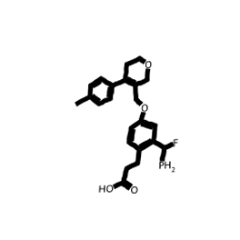 Cc1ccc(C2=C(COc3ccc(CCC(=O)O)c(C(F)P)c3)COCC2)cc1